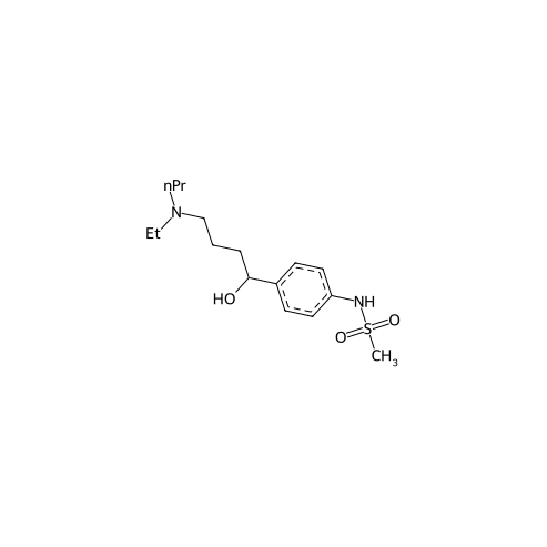 CCCN(CC)CCCC(O)c1ccc(NS(C)(=O)=O)cc1